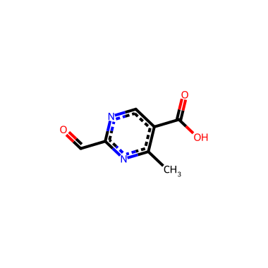 Cc1nc(C=O)ncc1C(=O)O